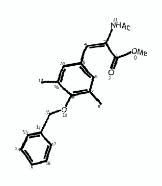 COC(=O)/C(=C\c1cc(C)c(OCc2ccccc2)c(C)c1)NC(C)=O